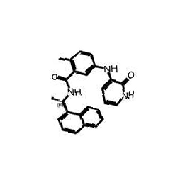 Cc1ccc(Nc2ccc[nH]c2=O)cc1C(=O)N[C@H](C)c1cccc2ccccc12